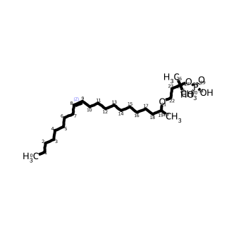 CCCCCCCC/C=C\CCCCCCCCCC(C)OCCC(C)(C)OP(=O)(O)O